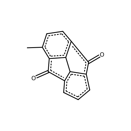 Cc1ccc2c3c1c(=O)c1cccc(c1-3)c2=O